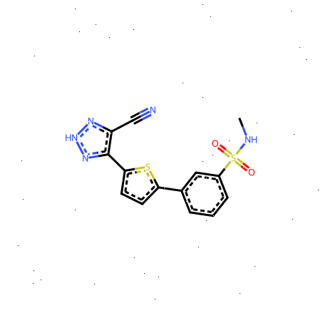 CNS(=O)(=O)c1cccc(-c2ccc(-c3n[nH]nc3C#N)s2)c1